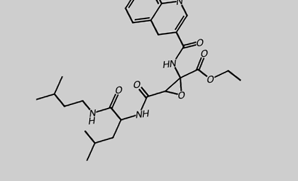 CCOC(=O)C1(NC(=O)C2=CN(C)c3ccccc3C2)OC1C(=O)NC(CC(C)C)C(=O)NCCC(C)C